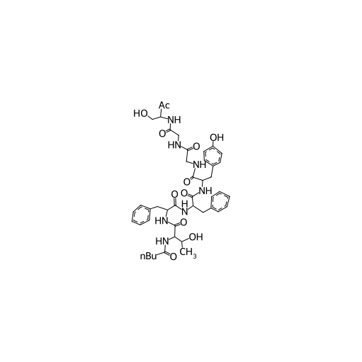 CCCCC(=O)NC(C(=O)NC(Cc1ccccc1)C(=O)NC(Cc1ccccc1)C(=O)NC(Cc1ccc(O)cc1)C(=O)NCC(=O)NCC(=O)NC(CO)C(C)=O)C(C)O